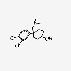 CN(C)CC1(c2ccc(Cl)c(Cl)c2)CCC(O)CC1